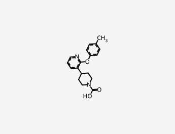 Cc1ccc(Oc2ncccc2C2CCN(C(=O)O)CC2)cc1